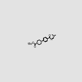 CN(C)/C=N\C(=O)c1ccc(N2CCN(C(=O)OC(C)(C)C)CC2)cc1